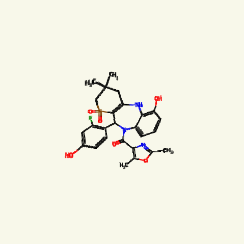 Cc1nc(C(=O)N2c3cccc(O)c3NC3=C(C2c2ccc(O)cc2F)S(=O)(=O)CC(C)(C)C3)c(C)o1